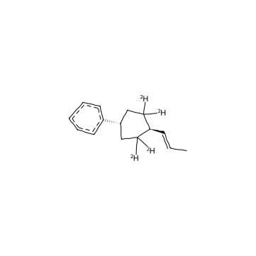 [2H]C1([2H])C[C@H](c2ccccc2)CC([2H])([2H])[C@H]1C=CC